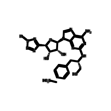 CCn1nnc([C@H]2O[C@@H](n3cnc4c(N)nc(N[C@H](CO)Cc5ccccc5)nc43)[C@H](O)[C@@H]2O)n1.CS(=O)(=O)O